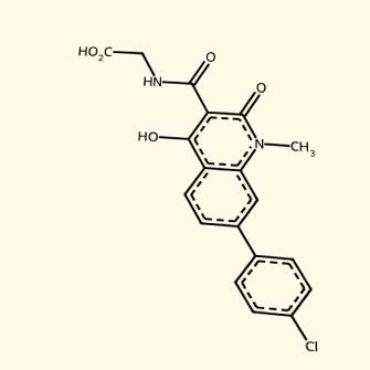 Cn1c(=O)c(C(=O)NCC(=O)O)c(O)c2ccc(-c3ccc(Cl)cc3)cc21